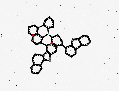 c1ccc(-c2ccccc2N(c2ccc(-c3cccc4c3sc3ccccc34)cc2)c2ccccc2-c2cccc3oc4c5ccccc5ccc4c23)cc1